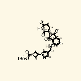 CC(C)(C)OC(=O)N1CC(n2cc(CNc3cccc4c3C(=O)N(C3CCC(=O)NC3=O)C4=O)cn2)C1